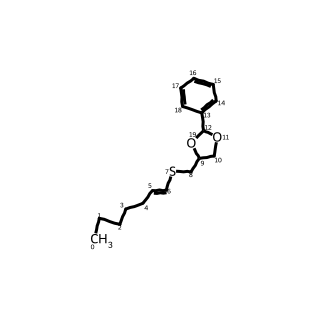 CCCCCC=CSCC1COC(c2ccccc2)O1